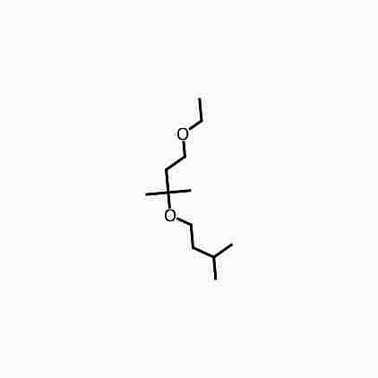 CCOCCC(C)(C)OCCC(C)C